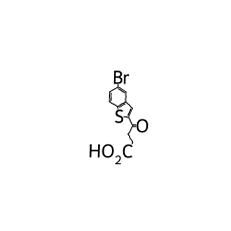 O=C(O)CCC(=O)c1cc2cc(Br)ccc2s1